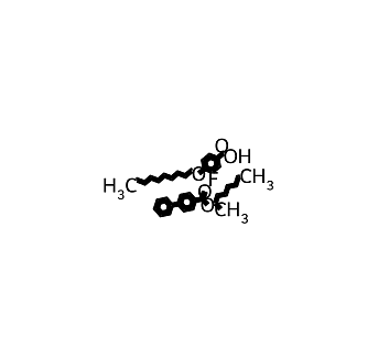 CCCCCCC(C)OC(=O)c1ccc(-c2ccccc2)cc1.CCCCCCCCCCOc1ccc(C(=O)O)cc1F